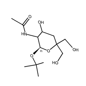 CC(=O)NC1C(O)CC(CO)(CO)O[C@H]1OC(C)(C)C